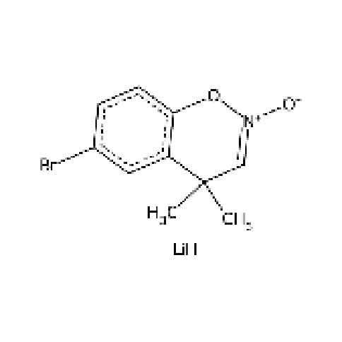 CC1(C)C=[N+]([O-])Oc2ccc(Br)cc21.[LiH]